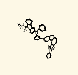 CC1(C)c2ccccc2-c2cc(N(c3ccccc3)c3cccc(-c4ccc5c(ccc6ccc7nn(-c8ccccc8)nc7c65)c4)c3)ccc21